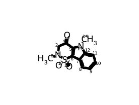 CN1CC(=O)c2c(c3ccccc3n2C)S1(=O)=O